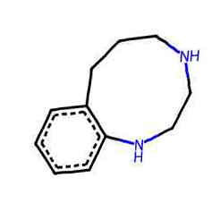 c1ccc2c(c1)CCCNCCN2